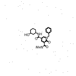 CNC(=O)c1cc(C(=O)NC2CCCC(O)C2)cn(Cc2ccccc2)c1=O